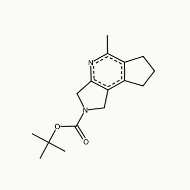 Cc1nc2c(c3c1CCC3)CN(C(=O)OC(C)(C)C)C2